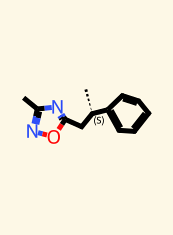 Cc1noc(C[C@H](C)c2ccccc2)n1